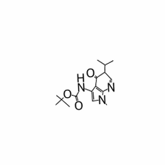 CC(C)C1C=Nc2c(c(NC(=O)OC(C)(C)C)cn2C)C1=O